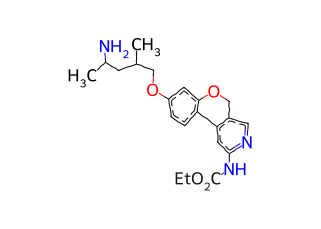 CCOC(=O)Nc1cc2c(cn1)COc1cc(OCC(C)CC(C)N)ccc1-2